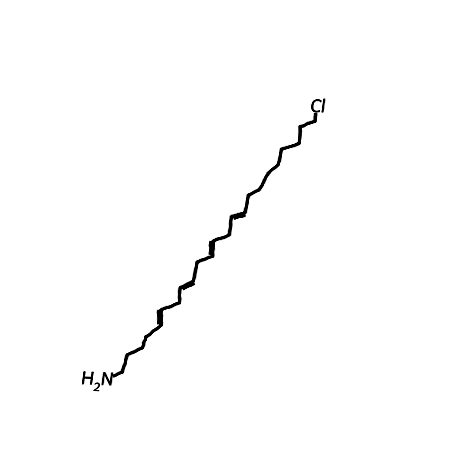 NCCCCC=CCC=CCC=CCC=CCCCCCCCCCl